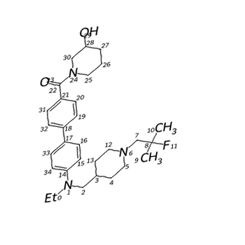 CCN(CC1CCN(CC(C)(C)F)CC1)c1ccc(-c2ccc(C(=O)N3CCCC(O)C3)cc2)cc1